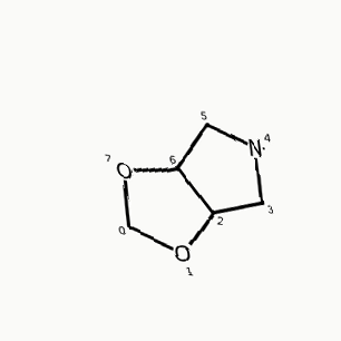 C1OC2C[N]CC2O1